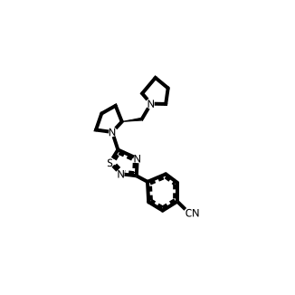 N#Cc1ccc(-c2nsc(N3CCC[C@H]3CN3CCCC3)n2)cc1